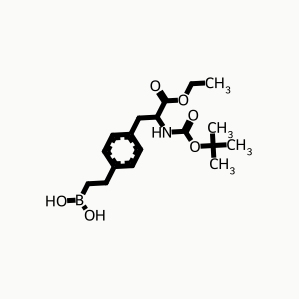 CCOC(=O)C(Cc1ccc(CCB(O)O)cc1)NC(=O)OC(C)(C)C